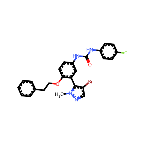 Cn1ncc(Br)c1-c1cc(NC(=O)Nc2ccc(F)cc2)ccc1OCCc1ccccc1